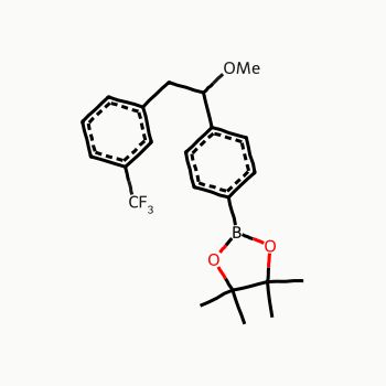 COC(Cc1cccc(C(F)(F)F)c1)c1ccc(B2OC(C)(C)C(C)(C)O2)cc1